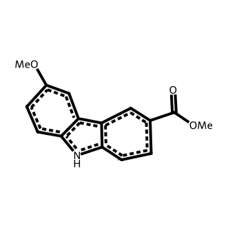 COC(=O)c1c[c]c2[nH]c3ccc(OC)cc3c2c1